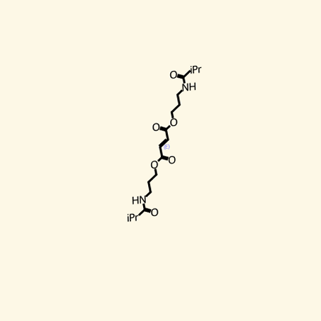 CC(C)C(=O)NCCCOC(=O)/C=C/C(=O)OCCCNC(=O)C(C)C